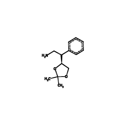 CC1(C)OC[C@H](C(CN)c2ccccc2)O1